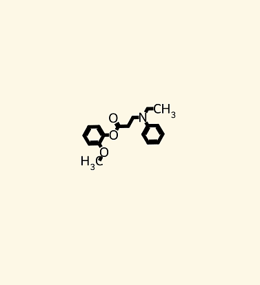 CCN(CCC(=O)Oc1ccccc1OC)c1ccccc1